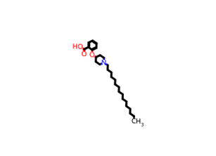 CCCCCCCCCCCCCCCCN1CCC(Oc2ccccc2C(=O)O)CC1